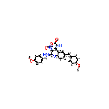 COc1ccc(CNc2nc3ccc(Cc4ccc(OC)cc4)cc3c(NC=O)c2[N+](=O)[O-])cc1